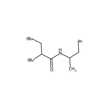 CC(C)CC(C)NC(=O)C(CC(C)(C)C)C(C)(C)C